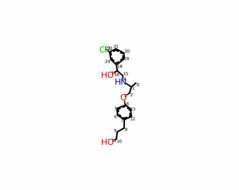 CC(COc1ccc(CCCO)cc1)NCC(O)c1cccc(Cl)c1